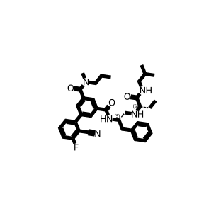 CCCN(C)C(=O)c1cc(C(=O)N[C@H](CN[C@@H](CC)C(=O)NCC(C)C)Cc2ccccc2)cc(-c2cccc(F)c2C#N)c1